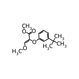 CO/C=C(\Oc1cccc(C(C)(C)C)c1)C(=O)OC